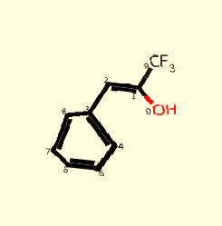 OC(=Cc1ccccc1)C(F)(F)F